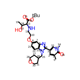 Cc1cc(-c2nc3cc(OCCNC(C(=O)OC(C)(C)C)C(C)O)ccc3n2CC2CCOCC2)cn(C)c1=O